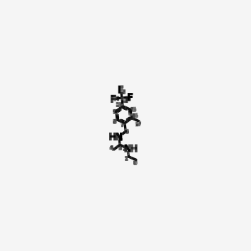 CCNC(C)NCc1ccc(C(F)(F)F)cc1C